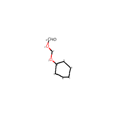 O=COCOC1CCCCC1